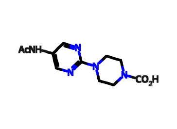 CC(=O)Nc1cnc(N2CCN(C(=O)O)CC2)nc1